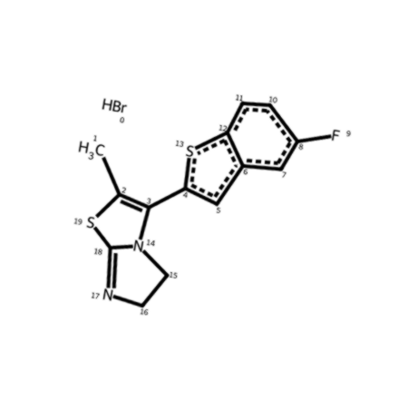 Br.CC1=C(c2cc3cc(F)ccc3s2)N2CCN=C2S1